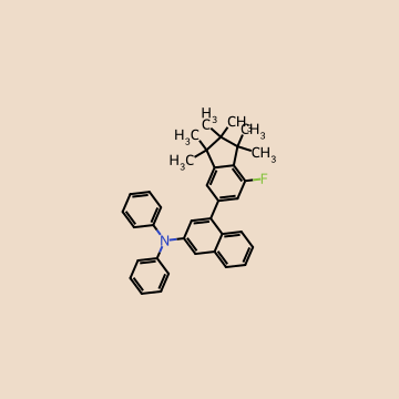 CC1(C)c2cc(-c3cc(N(c4ccccc4)c4ccccc4)cc4ccccc34)cc(F)c2C(C)(C)C1(C)C